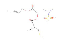 C=CCOC(=O)[C@H](CN(CC)S(C)(=O)=O)OC(=O)[C@H](C)CSC(C)=O